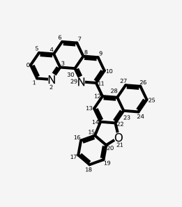 c1cnc2c(c1)ccc1ccc(-c3cc4c5ccccc5oc4c4ccccc34)nc12